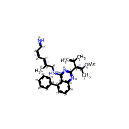 C=C(C)/C(=C(/C)OC)c1nc(NC/C(C)=C/C=C\C=N)c2c(-c3ccccc3)cccc2n1